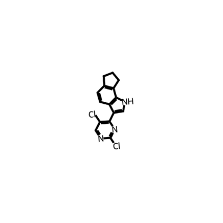 Clc1ncc(Cl)c(-c2c[nH]c3c4c(ccc23)CCC4)n1